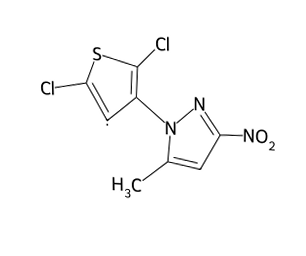 Cc1cc([N+](=O)[O-])nn1-c1[c]c(Cl)sc1Cl